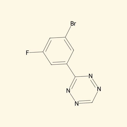 Fc1cc(Br)cc(-c2nncnn2)c1